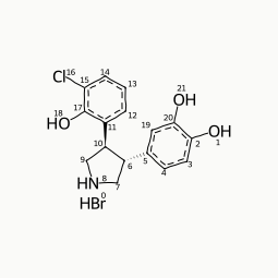 Br.Oc1ccc([C@@H]2CNC[C@H]2c2cccc(Cl)c2O)cc1O